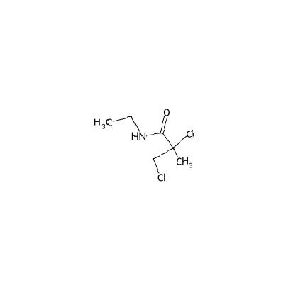 CCNC(=O)C(C)(Cl)CCl